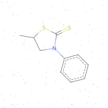 CC1CN(c2ccccc2)C(=S)S1